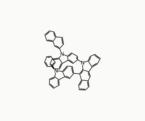 c1ccc(-n2c3ccccc3c3cc(-c4c5ccccc5cc5c6ccccc6n(-c6ccc7c(c6)c6ccccc6n7-c6ccc7ccccc7c6)c45)ccc32)cc1